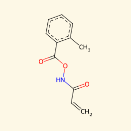 C=CC(=O)NOC(=O)c1ccccc1C